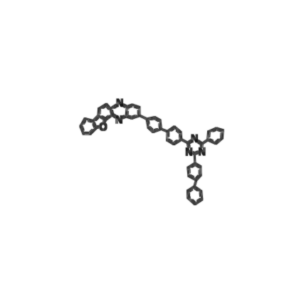 c1ccc(-c2ccc(-c3nc(-c4ccccc4)nc(-c4ccc(-c5ccc(-c6ccc7nc8ccc9c%10ccccc%10oc9c8nc7c6)cc5)cc4)n3)cc2)cc1